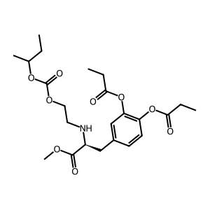 CCC(=O)Oc1ccc(C[C@H](NCCOC(=O)OC(C)CC)C(=O)OC)cc1OC(=O)CC